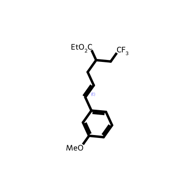 CCOC(=O)C(C/C=C/c1cccc(OC)c1)CC(F)(F)F